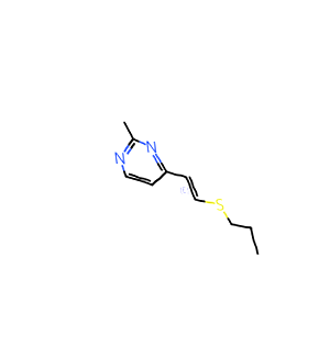 CCCS/C=C/c1ccnc(C)n1